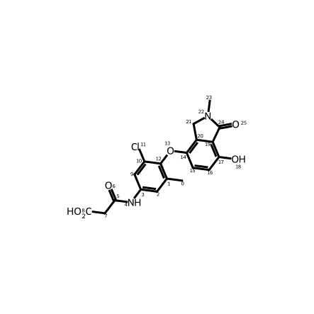 Cc1cc(NC(=O)CC(=O)O)cc(Cl)c1Oc1ccc(O)c2c1CN(C)C2=O